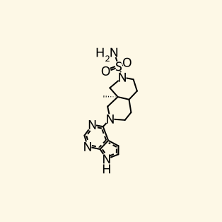 C[C@@]12CN(c3ncnc4[nH]ccc34)CCC1CCN(S(N)(=O)=O)C2